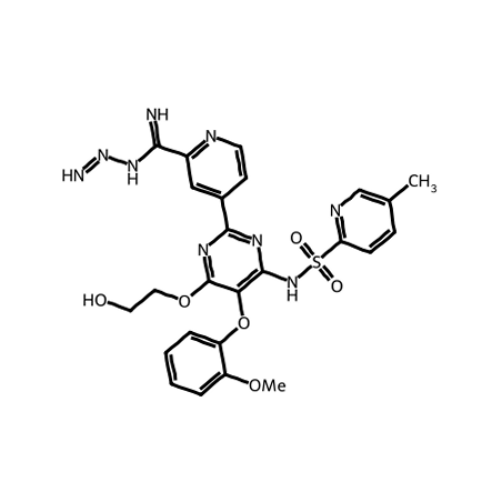 COc1ccccc1Oc1c(NS(=O)(=O)c2ccc(C)cn2)nc(-c2ccnc(C(=N)NN=N)c2)nc1OCCO